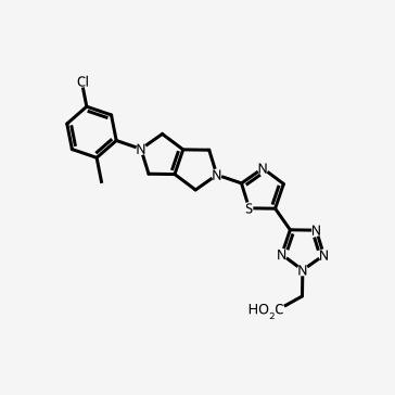 Cc1ccc(Cl)cc1N1CC2=C(CN(c3ncc(-c4nnn(CC(=O)O)n4)s3)C2)C1